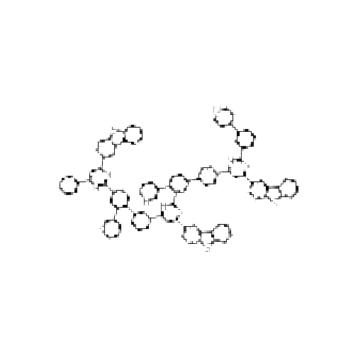 c1ccc(-c2cc(-c3ccc4sc5ccccc5c4c3)nc(-c3ccc(-c4cccc(-c5cc(-c6ccc7sc8ccccc8c7c6)nc(-c6cc(-c7ccc(-c8cc(-c9ccc%10sc%11ccccc%11c%10c9)nc(-c9cccc(-c%10ccncc%10)c9)n8)cc7)ccc6-c6cccnc6)n5)c4)c(-c4cccnc4)c3)n2)cc1